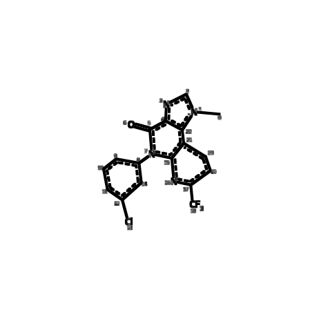 Cn1cnc2c(=O)n(-c3cccc(Cl)c3)c3nc(C(F)(F)F)ccc3c21